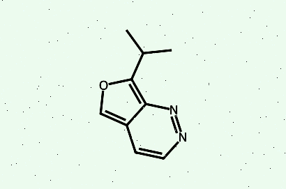 CC(C)c1occ2ccnnc12